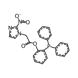 O=C(Cn1ccnc1[N+](=O)[O-])Oc1ccccc1P(c1ccccc1)c1ccccc1